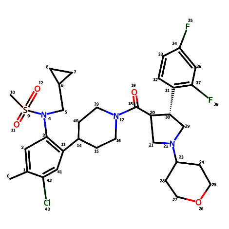 Cc1cc(N(CC2CC2)S(C)(=O)=O)c(C2CCN(C(=O)C3CN(C4CCOCC4)C[C@H]3c3ccc(F)cc3F)CC2)cc1Cl